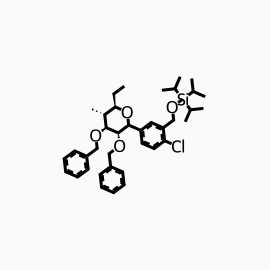 CC[C@H]1OC(c2ccc(Cl)c(CO[Si](C(C)C)(C(C)C)C(C)C)c2)[C@H](OCc2ccccc2)[C@@H](OCc2ccccc2)[C@@H]1C